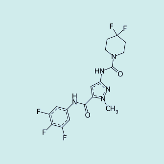 Cn1nc(NC(=O)N2CCC(F)(F)CC2)cc1C(=O)Nc1cc(F)c(F)c(F)c1